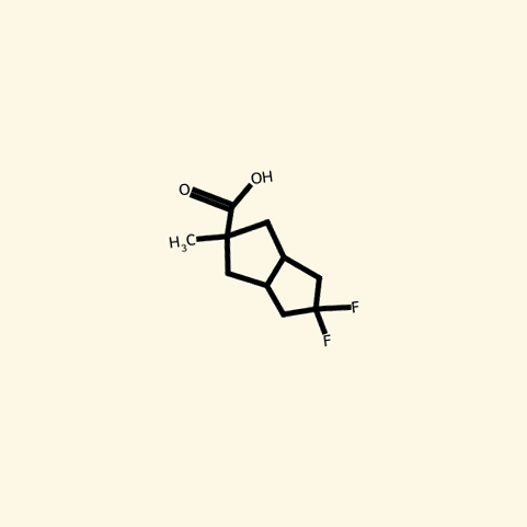 CC1(C(=O)O)CC2CC(F)(F)CC2C1